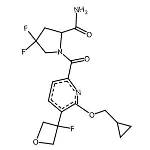 NC(=O)C1CC(F)(F)CN1C(=O)c1ccc(C2(F)COC2)c(OCC2CC2)n1